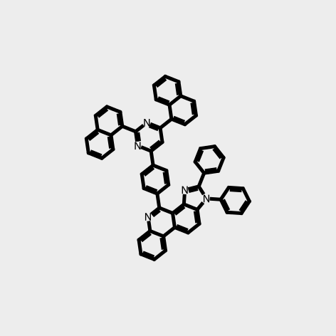 c1ccc(-c2nc3c4c(-c5ccc(-c6cc(-c7cccc8ccccc78)nc(-c7cccc8ccccc78)n6)cc5)nc5ccccc5c4ccc3n2-c2ccccc2)cc1